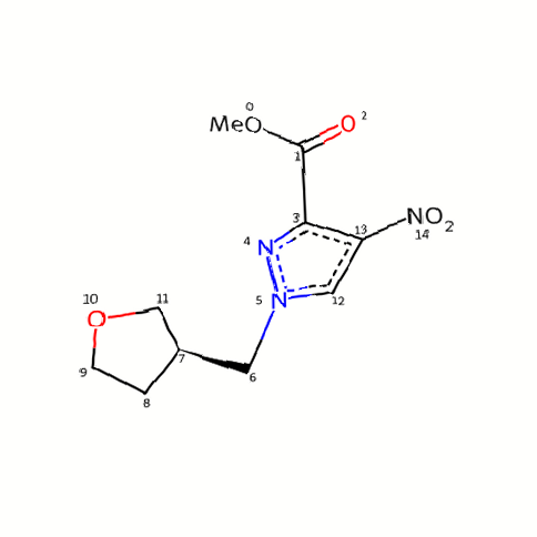 COC(=O)c1nn(C[C@H]2CCOC2)cc1[N+](=O)[O-]